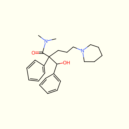 CN(C)C(=O)C(CCCN1CCCCC1)(c1ccccc1)C(O)c1ccccc1